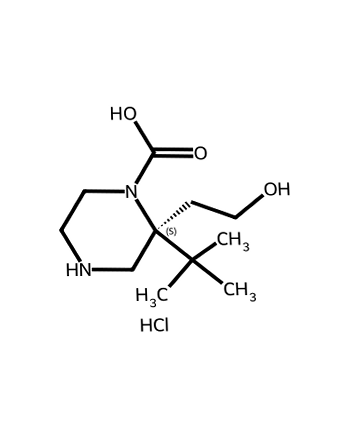 CC(C)(C)[C@@]1(CCO)CNCCN1C(=O)O.Cl